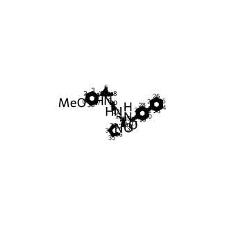 COc1ccc([C@@H]2CC2(C)NCCNC[C@H](NC(=O)c2ccc(-c3ccccc3)cc2)C(=O)N2CCCC2)cc1